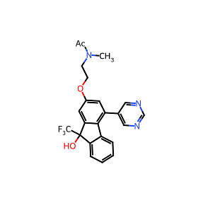 CC(=O)N(C)CCOc1cc(-c2cncnc2)c2c(c1)C(O)(C(F)(F)F)c1ccccc1-2